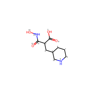 O=C(O)C(CC1CCCNC1)C(=O)NO